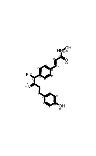 CCC(C(=N)CCc1ccc(O)cc1)c1ccc(/C=C/C(=O)NO)cc1